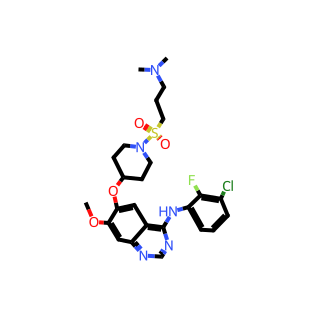 COc1cc2ncnc(Nc3cccc(Cl)c3F)c2cc1OC1CCN(S(=O)(=O)CCCN(C)C)CC1